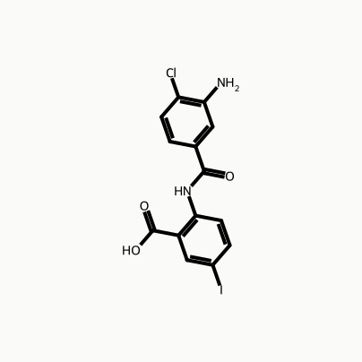 Nc1cc(C(=O)Nc2ccc(I)cc2C(=O)O)ccc1Cl